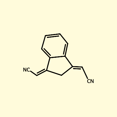 N#C/C=C1/C/C(=C\C#N)c2ccccc21